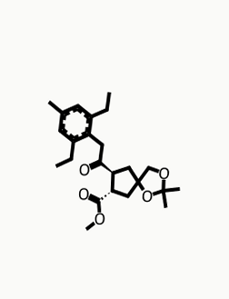 CCc1cc(C)cc(CC)c1CC(=O)[C@H]1CC2(COC(C)(C)O2)C[C@@H]1C(=O)OC